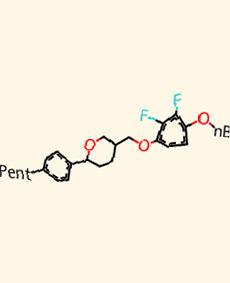 CCCCCc1ccc(C2CCC(COc3ccc(OCCCC)c(F)c3F)CO2)cc1